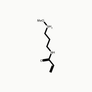 C=CC(=O)NCCC[SiH2]OC